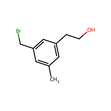 Cc1cc(CBr)cc(CCO)c1